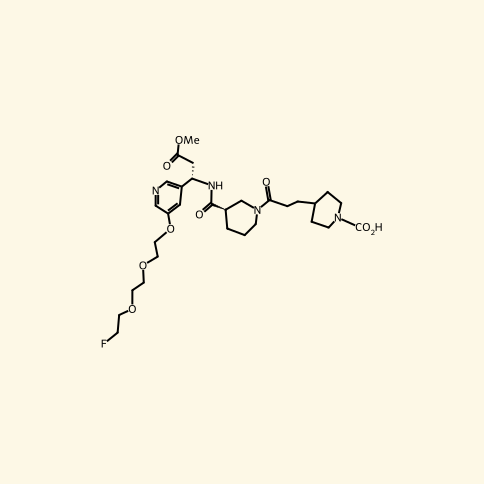 COC(=O)C[C@H](NC(=O)[C@@H]1CCCN(C(=O)CCC2CCN(C(=O)O)CC2)C1)c1cncc(OCCOCCOCCF)c1